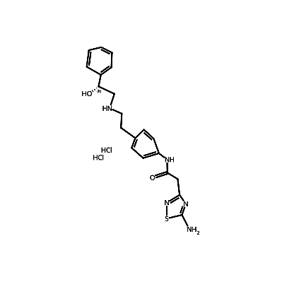 Cl.Cl.Nc1nc(CC(=O)Nc2ccc(CCNC[C@H](O)c3ccccc3)cc2)ns1